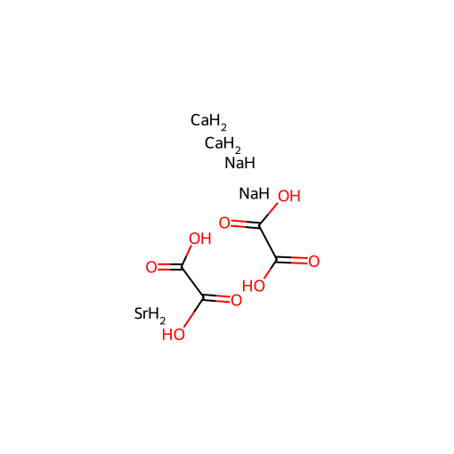 O=C(O)C(=O)O.O=C(O)C(=O)O.[CaH2].[CaH2].[NaH].[NaH].[SrH2]